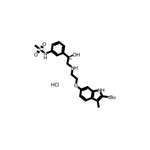 Cc1c(C(C)(C)C)[nH]c2cc(OCCNC[C@H](O)c3cccc(NS(C)(=O)=O)c3)ccc12.Cl